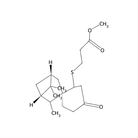 COC(=O)CCSC1CC(=O)CC[C@]12C[C@H]1C[C@@H](C2C)C1(C)C